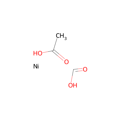 CC(=O)O.O=CO.[Ni]